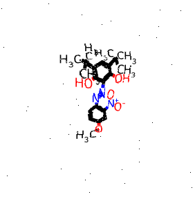 COc1ccc(N=Nc2c(O)c(C(C)(C)C)cc(C(C)(C)C)c2O)c([N+](=O)[O-])c1